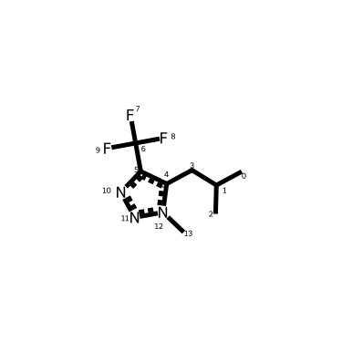 CC(C)Cc1c(C(F)(F)F)nnn1C